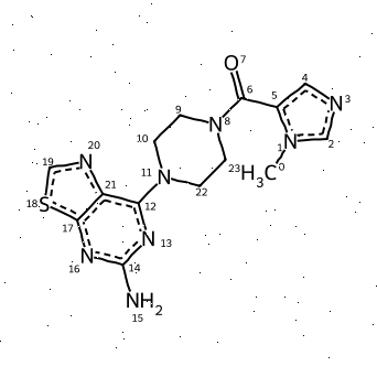 Cn1cncc1C(=O)N1CCN(c2nc(N)nc3scnc23)CC1